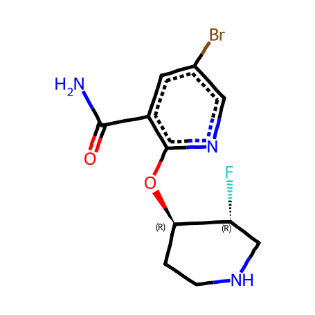 NC(=O)c1cc(Br)cnc1O[C@@H]1CCNC[C@H]1F